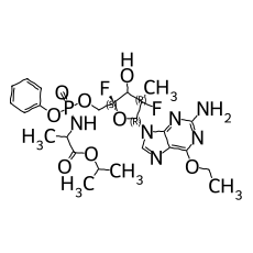 CCOc1nc(N)nc2c1ncn2[C@@H]1O[C@](F)(COP(=O)(NC(C)C(=O)OC(C)C)Oc2ccccc2)C(O)[C@@]1(C)F